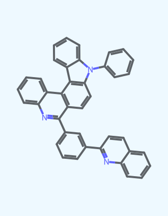 c1ccc(-n2c3ccccc3c3c4c(ccc32)c(-c2cccc(-c3ccc5ccccc5n3)c2)nc2ccccc24)cc1